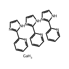 [GaH3].c1ccc(-c2ncc[nH]2)nc1.c1ccc(-c2ncc[nH]2)nc1.c1ccc(-c2ncc[nH]2)nc1